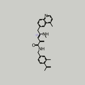 C=C(/C=C(/Cc1ccc2nccc(C)c2c1)NC)C(=O)NCc1ccc(C(=C)C)c(C)c1